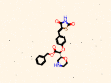 O=C1NC(=O)C(=Cc2ccc(OC(C(=O)OCc3ccccc3)[C@H]3CNCCO3)cc2)S1